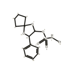 CCNS(=O)(=O)OC1OC2(CCCC2)OC1c1ccccc1